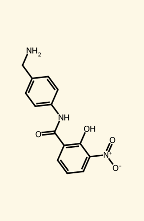 NCc1ccc(NC(=O)c2cccc([N+](=O)[O-])c2O)cc1